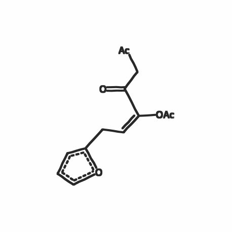 CC(=O)CC(=O)C(=CCc1ccco1)OC(C)=O